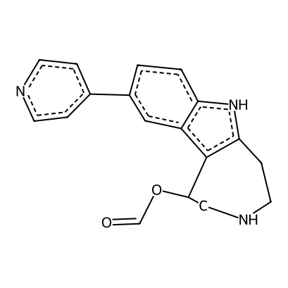 O=COC1CNCCc2[nH]c3ccc(-c4ccncc4)cc3c21